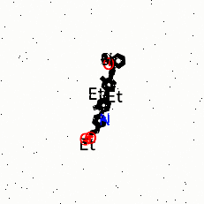 CCOOCCc1ccc(-c2ccc(C(CC)(CC)c3ccc(C#CC4(O[Si](C)(C)C)CCCCC4)c(C)c3)cc2C)nc1